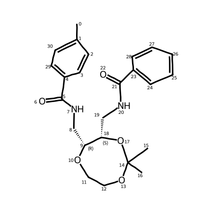 Cc1ccc(C(=O)NC[C@H]2OCCOC(C)(C)O[C@H]2CNC(=O)c2ccccc2)cc1